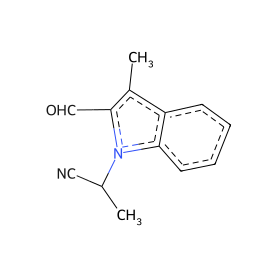 Cc1c(C=O)n(C(C)C#N)c2ccccc12